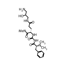 CNC(=O)[C@H](CCC(=O)NCC(O)CN)NC(=O)NC(=O)[C@H](Cc1ccccc1)N(C)C